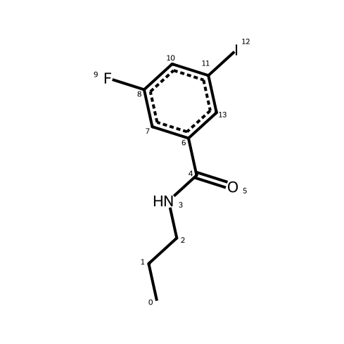 CCCNC(=O)c1cc(F)cc(I)c1